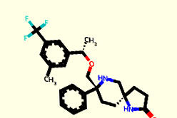 Cc1cc([C@H](C)OC[C@]2(c3ccccc3)CC[C@@]3(CCC(=O)N3)CN2)cc(C(F)(F)F)c1